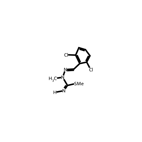 [H]/N=C(/SC)N(C)N=Cc1c(Cl)cccc1Cl